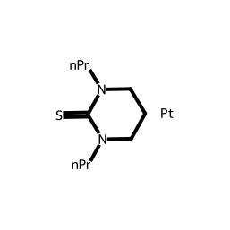 CCCN1CCCN(CCC)C1=S.[Pt]